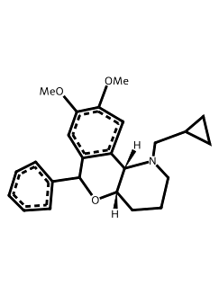 COc1cc2c(cc1OC)[C@H]1[C@H](CCCN1CC1CC1)OC2c1ccccc1